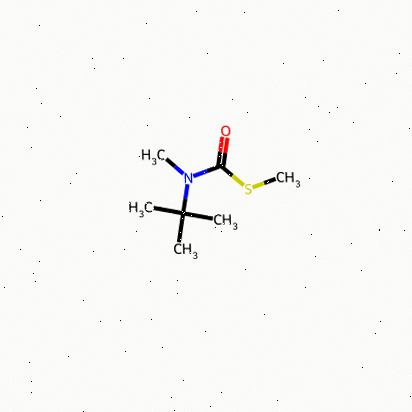 CSC(=O)N(C)C(C)(C)C